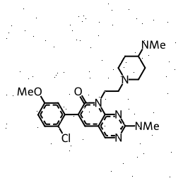 CNc1ncc2cc(-c3cc(OC)ccc3Cl)c(=O)n(CCN3CCC(NC)CC3)c2n1